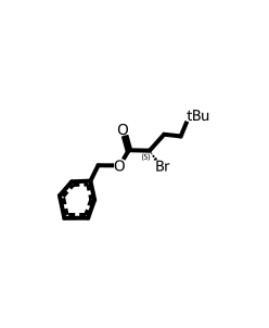 CC(C)(C)CC[C@H](Br)C(=O)OCc1ccccc1